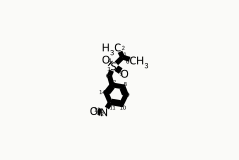 CC(C)S(=O)(=O)Cc1cccc(N=O)c1